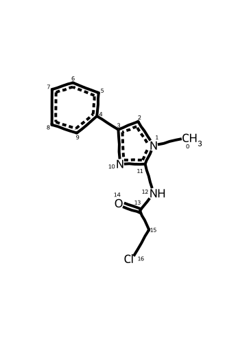 Cn1cc(-c2ccccc2)nc1NC(=O)CCl